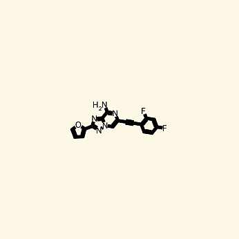 Nc1nc(C#Cc2ccc(F)cc2F)cn2nc(-c3ccco3)nc12